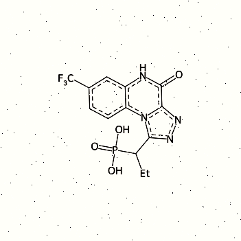 CCC(c1nnc2c(=O)[nH]c3cc(C(F)(F)F)ccc3n12)P(=O)(O)O